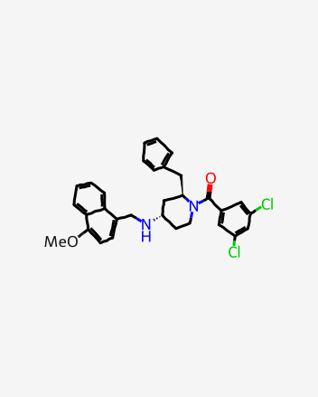 COc1ccc(CN[C@H]2CCN(C(=O)c3cc(Cl)cc(Cl)c3)[C@H](Cc3ccccc3)C2)c2ccccc12